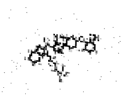 Cc1cc(Oc2ccccc2C#N)ccc1-n1ncc(C(=O)c2cc3ccccc3n2COCC[Si](C)(C)C)c1N